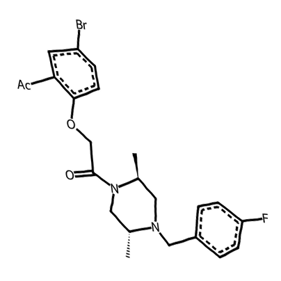 CC(=O)c1cc(Br)ccc1OCC(=O)N1C[C@@H](C)N(Cc2ccc(F)cc2)C[C@@H]1C